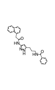 O=C(Cc1cccc2ccccc12)Nc1cc(CCCNC(=O)c2ccccc2)[nH]n1